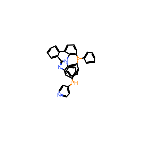 c1ccc(P(c2ccccc2)c2cccc3c4ccccc4c4nc5cc(Pc6ccncc6)ccc5n4c23)cc1